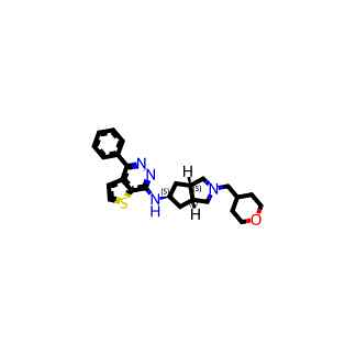 c1ccc(-c2nnc(N[C@H]3C[C@@H]4CN(CC5CCOCC5)C[C@@H]4C3)c3sccc23)cc1